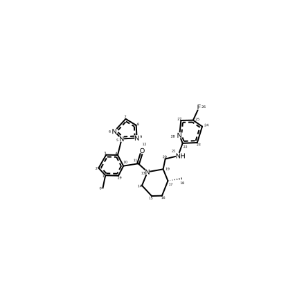 Cc1ccc(-n2nccn2)c(C(=O)N2CCC[C@@H](C)C2CNc2ccc(F)cn2)c1